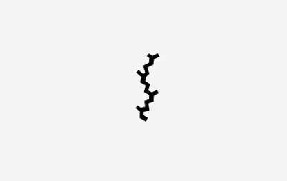 C=CC(C)=CCC=C(C)CCC=C(C)CCC=C(C)C